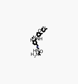 Cc1ccc(Oc2ccc(Nc3ncnc4ccc(/C=C/CNC(=O)C(C)N)cc34)cc2C)cn1